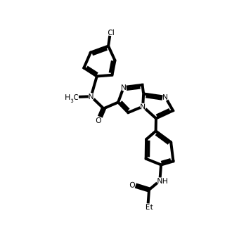 CCC(=O)Nc1ccc(-c2cnc3cnc(C(=O)N(C)c4ccc(Cl)cc4)cn23)cc1